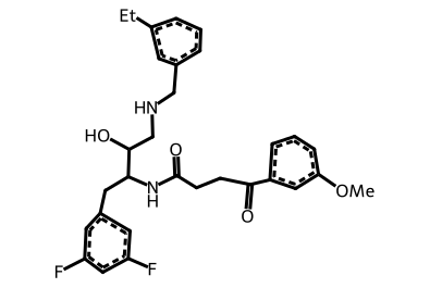 CCc1cccc(CNCC(O)C(Cc2cc(F)cc(F)c2)NC(=O)CCC(=O)c2cccc(OC)c2)c1